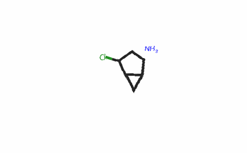 ClC1CCC2CC12.N